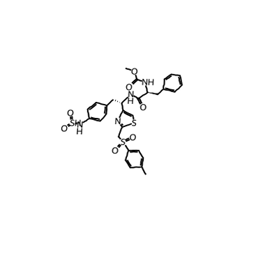 COC(=O)N[C@@H](Cc1ccccc1)C(=O)N[C@@H](Cc1ccc(N[SH](=O)=O)cc1)c1csc(CS(=O)(=O)c2ccc(C)cc2)n1